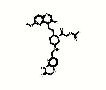 COc1ccc2ncc(Cl)c(CCC3CCC(NCc4ccc5c(n4)NC(=O)CO5)CN3C(=O)COC(C)=O)c2n1